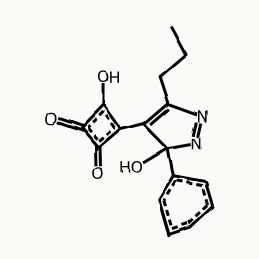 CCCC1=C(c2c(O)c(=O)c2=O)C(O)(c2ccccc2)N=N1